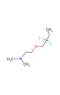 CCC(F)(F)COCCN(C)C